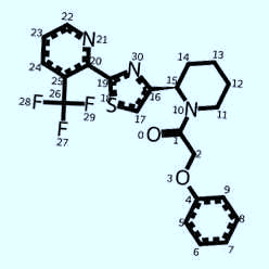 O=C(COc1ccccc1)N1CCCC[C@@H]1c1csc(-c2ncccc2C(F)(F)F)n1